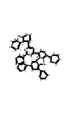 c1ccc(-c2cc(-c3ccccc3)c3sc4c(-c5ccccc5)ccc(-c5nc(-c6ccccc6)nc(-c6cccc7sc8ccccc8c67)n5)c4c3c2)cc1